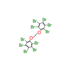 Brc1c(Br)c(Br)c(OCCOc2c(Br)c(Br)c(Br)c(Br)c2Br)c(Br)c1Br